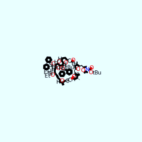 C=C1C[C@@H]2/C=C/C(O[Si](CC)(CC)CC)C[C@H]3O[C@H]4[C@@H](O[Si](c5ccccc5)(c5ccccc5)C(C)(C)C)[C@H]5OC(CC[C@@H]5O[C@H]4[C@H]3O[Si](c3ccccc3)(c3ccccc3)C(C)(C)C)CC(=O)C[C@H]3C(C[C@H]4O[C@@H](CCC1O2)C[C@@H](C)C4=C)O[C@H](C[C@H]1CN(C(=O)OC(C)(C)C)C(C)(C)O1)[C@@H]3C